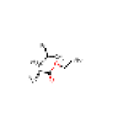 C=CC(=O)OCCCCCCCCCC.CC(C)C(C)C(=O)O